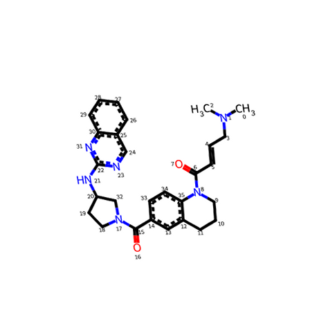 CN(C)C/C=C/C(=O)N1CCCc2cc(C(=O)N3CCC(Nc4ncc5ccccc5n4)C3)ccc21